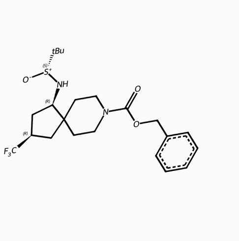 CC(C)(C)[S@@+]([O-])N[C@@H]1C[C@H](C(F)(F)F)CC12CCN(C(=O)OCc1ccccc1)CC2